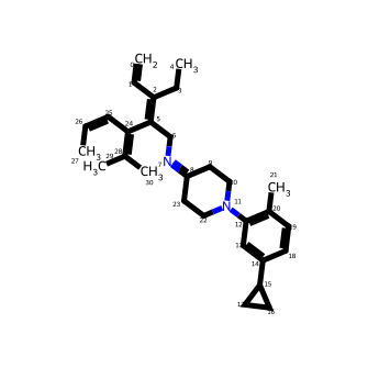 C=C/C(CC)=C(/CN=C1CCN(c2cc(C3CC3)ccc2C)CC1)C(/C=C\C)=C(C)C